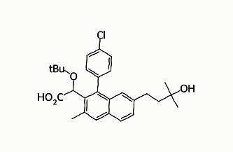 Cc1cc2ccc(CCC(C)(C)O)cc2c(-c2ccc(Cl)cc2)c1C(OC(C)(C)C)C(=O)O